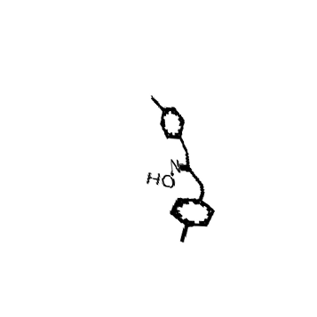 Cc1ccc(CC(Cc2ccc(C)cc2)=NO)cc1